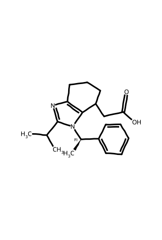 CC(C)c1nc2c(n1[C@H](C)c1ccccc1)C(CC(=O)O)CCC2